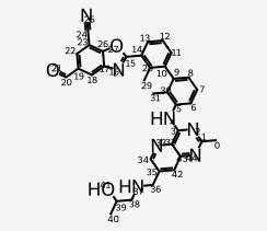 Cc1nc(Nc2cccc(-c3cccc(-c4nc5cc(C=O)cc(C#N)c5o4)c3C)c2C)c2ncc(CNCC(C)O)cc2n1